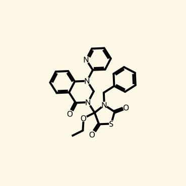 CCOC1(N2CN(c3ccccn3)c3ccccc3C2=O)C(=O)SC(=O)N1Cc1ccccc1